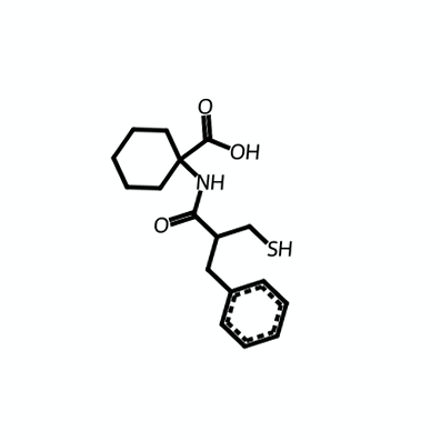 O=C(NC1(C(=O)O)CCCCC1)C(CS)Cc1ccccc1